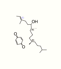 C/C=C(\C)CCC(O)[C@H](C)CCC[C@H](C)CCCC(C)C.O=C1C=CC(=O)C=C1